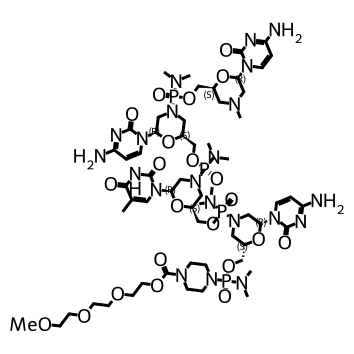 COCCOCCOCCOC(=O)N1CCN(P(=O)(OC[C@@H]2CN(P(=O)(OC[C@@H]3CN(P(=O)(OC[C@@H]4CN(P(=O)(OC[C@@H]5CN(C)C[C@H](n6ccc(N)nc6=O)O5)N(C)C)C[C@H](n5ccc(N)nc5=O)O4)N(C)C)C[C@H](n4cc(C)c(=O)[nH]c4=O)O3)N(C)C)C[C@H](n3ccc(N)nc3=O)O2)N(C)C)CC1